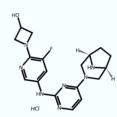 Cl.OC1CN(c2ncc(Nc3nccc(N4C[C@H]5CC[C@@H](C4)N5)n3)cc2F)C1